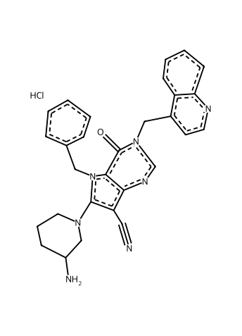 Cl.N#Cc1c(N2CCCC(N)C2)n(Cc2ccccc2)c2c(=O)n(Cc3ccnc4ccccc34)cnc12